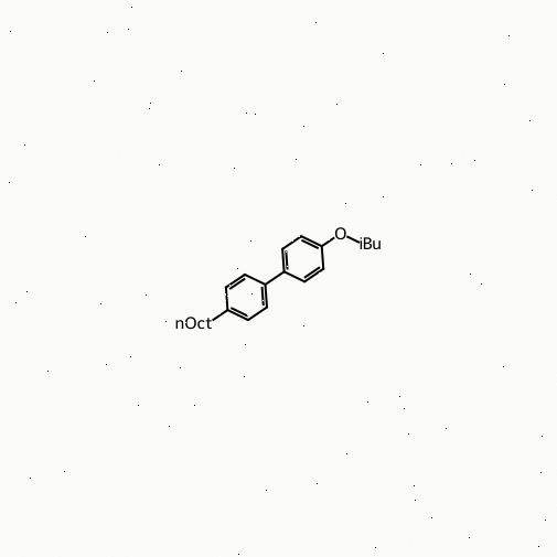 CCCCCCCCc1ccc(-c2ccc(OC(C)CC)cc2)cc1